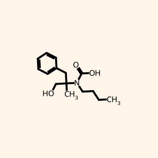 CCCCN(C(=O)O)C(C)(CO)Cc1ccccc1